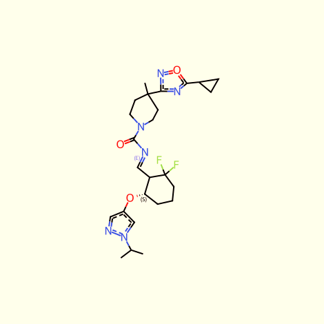 CC(C)n1cc(O[C@H]2CCCC(F)(F)C2/C=N/C(=O)N2CCC(C)(c3noc(C4CC4)n3)CC2)cn1